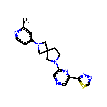 FC(F)(F)c1cc(N2CC3(CCN(c4cncc(-c5nncs5)n4)C3)C2)ccn1